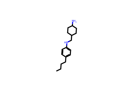 CCCCc1ccc(NCC2CCC(N)CC2)cc1